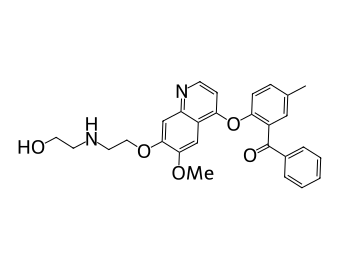 COc1cc2c(Oc3ccc(C)cc3C(=O)c3ccccc3)ccnc2cc1OCCNCCO